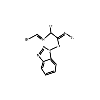 CC/C=N/C(CC)/C(=N/CC)On1nnc2ccccc21